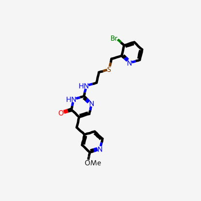 COc1cc(Cc2cnc(NCCSCc3ncccc3Br)[nH]c2=O)ccn1